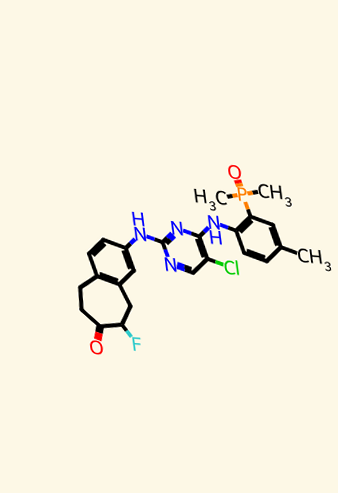 Cc1ccc(Nc2nc(Nc3ccc4c(c3)CC(F)C(=O)CC4)ncc2Cl)c(P(C)(C)=O)c1